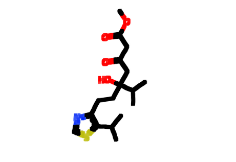 COC(=O)CC(=O)CC(O)(CCc1ncsc1C(C)C)C(C)C